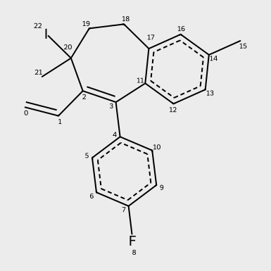 C=CC1=C(c2ccc(F)cc2)c2ccc(C)cc2CCC1(C)I